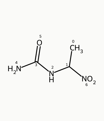 CC(NC(N)=O)[N+](=O)[O-]